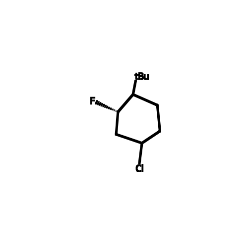 CC(C)(C)C1CCC(Cl)C[C@@H]1F